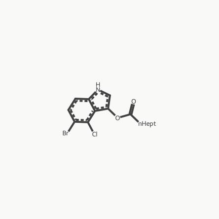 CCCCCCCC(=O)Oc1c[nH]c2ccc(Br)c(Cl)c12